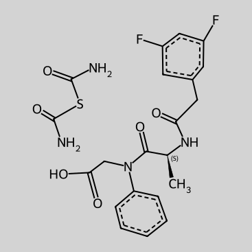 C[C@H](NC(=O)Cc1cc(F)cc(F)c1)C(=O)N(CC(=O)O)c1ccccc1.NC(=O)SC(N)=O